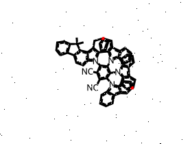 CC1(C)c2ccccc2-c2ccc3c(c4c(n3-c3c(C#N)c(C#N)c(-n5c6ccccc6c6ccccc65)c(-n5c6ccccc6c6ccccc65)c3-n3c5ccccc5c5ccccc53)C=CCC4)c21